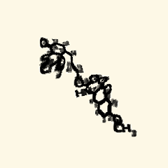 COc1ccc2cc(NC(=O)OCCCC3CCC(=O)C(SC)C3=O)c(=O)oc2c1